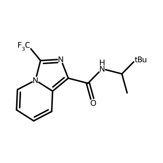 CC(NC(=O)c1nc(C(F)(F)F)n2ccccc12)C(C)(C)C